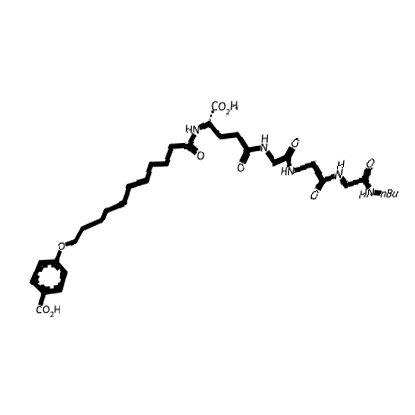 CCCCNC(=O)CNC(=O)CNC(=O)CNC(=O)CC[C@H](NC(=O)CCCCCCCCCCOc1ccc(C(=O)O)cc1)C(=O)O